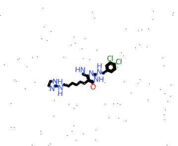 N=Cc1nc(NCc2ccc(Cl)c(Cl)c2)[nH]c(=O)c1CCCCCCNC1=NCCN1